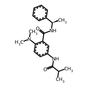 CC(C)C(=O)Nc1ccc(N(C)C)c(C(=O)N[C@H](C)c2ccccc2)c1